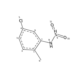 Cc1ccc(Cl)cc1N[SH](=O)=O